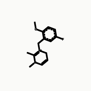 COc1ccc(F)cc1C[N+]1=C(C)N(C)C=CC1